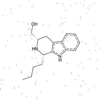 CCCC[C@@H]1N[C@H](CO)Cc2c1[nH]c1ccccc21